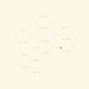 N#Cc1cc(C#N)c(N2c3ccccc3Sc3ccc4ccccc4c32)cc1N1c2ccccc2Sc2ccc3ccccc3c21